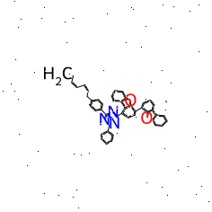 C=C/C=C\C=C/Cc1ccc(-c2nc(-c3ccccc3)nc(-c3ccc(-c4cccc5c4oc4ccccc45)c4oc5ccccc5c34)n2)cc1